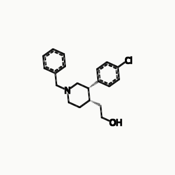 OCC[C@@H]1CCN(Cc2ccccc2)C[C@@H]1c1ccc(Cl)cc1